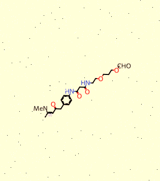 CN/C(C)=C\C(=O)Cc1ccc(NC(=O)CC(=O)NCCOCCCOC=O)cc1